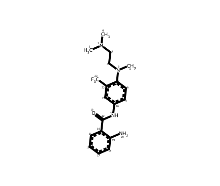 CN(C)CCN(C)c1ccc(NC(=O)c2ccccc2N)cc1C(F)(F)F